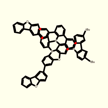 CC(C)(C)c1ccc2c(c1)c1cc(C(C)(C)C)ccc1n2-c1cc2c3c(c1)N(c1c(-c4ccccc4)cccc1-c1ccccc1)c1cc(-c4ccc5oc6ccccc6c5c4)ccc1B3c1ccc(-c3ccc4oc5ccccc5c4c3)cc1O2